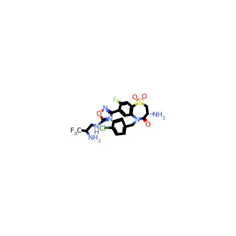 NC(CNc1nc(-c2cc3c(cc2F)S(=O)(=O)C[C@H](N)C(=O)N3Cc2ccc(Cl)cc2)no1)C(F)(F)F